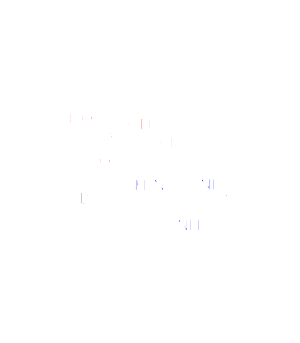 CC(C)(C)COB(O)O.N=C(N)N.OCCO